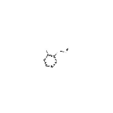 O=NOc1ccccc1O